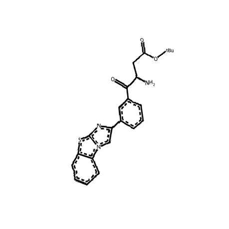 CC(C)(C)OC(=O)CC(N)C(=O)c1cccc(-c2cn3c(n2)sc2ccccc23)c1